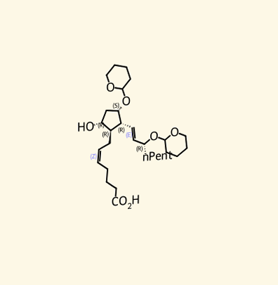 CCCCC[C@H](/C=C/[C@@H]1[C@@H](C/C=C\CCCC(=O)O)[C@H](O)C[C@@H]1OC1CCCCO1)OC1CCCCO1